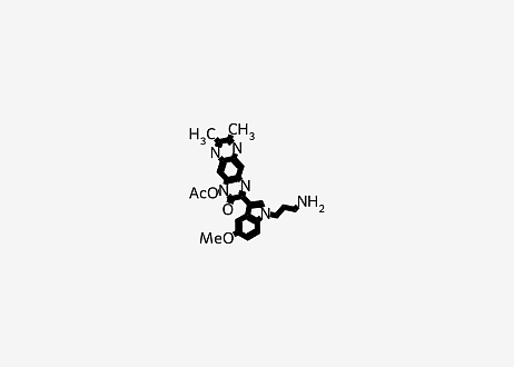 COc1ccc2c(c1)c(-c1nc3cc4nc(C)c(C)nc4cc3n(OC(C)=O)c1=O)cn2CCCN